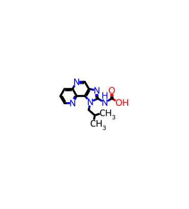 CC(C)Cn1c(NC(=O)O)nc2cnc3cccnc3c21